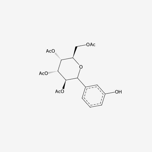 CC(=O)OC[C@H]1OC(c2cccc(O)c2)[C@@H](OC(C)=O)[C@H](OC(C)=O)[C@@H]1OC(C)=O